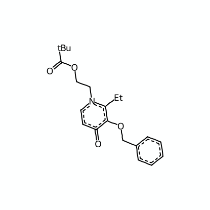 CCc1c(OCc2ccccc2)c(=O)ccn1CCOC(=O)C(C)(C)C